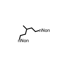 CCCCCCCCCCCC(C)CCCCCCCCCCC